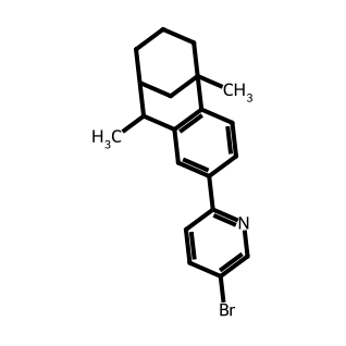 CC1c2cc(-c3ccc(Br)cn3)ccc2C2(C)CCCC1C2